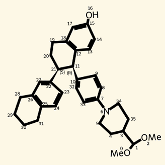 COC(OC)C1CCN(c2ccc([C@@H]3c4ccc(O)cc4CC[C@@H]3c3ccc4c(c3)CCCC4)cc2)CC1